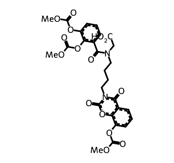 COC(=O)Oc1cccc(C(=O)N(CCCCn2c(=O)oc3c(OC(=O)OC)cccc3c2=O)CC(=O)O)c1OC(=O)OC